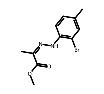 COC(=O)/C(C)=N\Nc1ccc(C)cc1Br